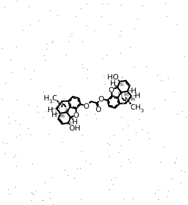 CN1CC[C@]23c4c5ccc(OCC(=O)Oc6ccc7c8c6O[C@H]6[C@@H](O)C=C[C@H]9[C@@H](C7)N(C)CC[C@@]896)c4O[C@H]2[C@@H](O)C=C[C@H]3[C@H]1C5